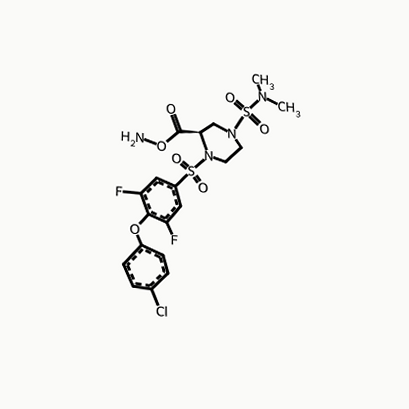 CN(C)S(=O)(=O)N1CCN(S(=O)(=O)c2cc(F)c(Oc3ccc(Cl)cc3)c(F)c2)[C@@H](C(=O)ON)C1